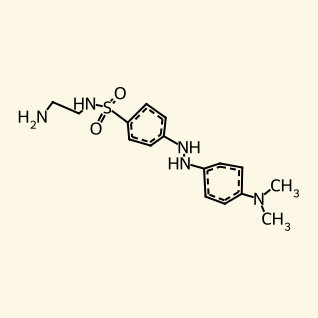 CN(C)c1ccc(NNc2ccc(S(=O)(=O)NCCN)cc2)cc1